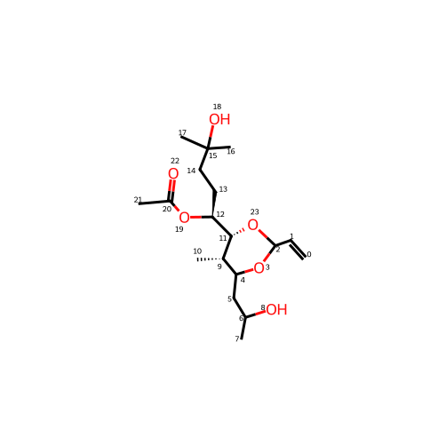 C=CC1OC(CC(C)O)[C@H](C)[C@H]([C@H](CCC(C)(C)O)OC(C)=O)O1